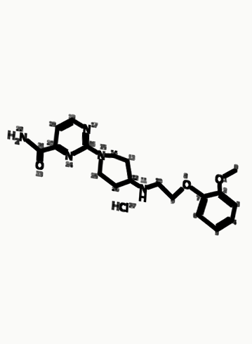 COc1ccccc1OCCNC1CCN(c2nccc(C(N)=O)n2)CC1.Cl